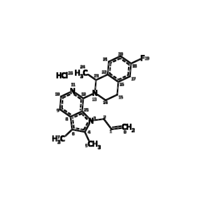 C=CCn1c(C)c(C)c2ccnc(N3CCc4cc(F)ccc4C3C)c21.Cl